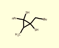 CCCC1(S)C(C)C1(S)CC(C)CC